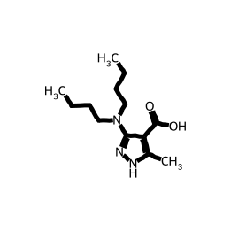 CCCCN(CCCC)c1n[nH]c(C)c1C(=O)O